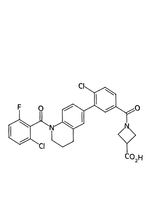 O=C(O)C1CN(C(=O)c2ccc(Cl)c(-c3ccc4c(c3)CCCN4C(=O)c3c(F)cccc3Cl)c2)C1